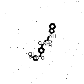 COC1CCN(C(=O)c2ccc(C(=O)NC[C@@H](O)CNC3Cc4ccccc4C3)cc2)C1